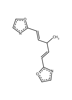 CC(C=Cc1ncco1)C=Cc1ncco1